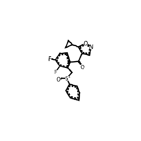 O=C(c1cnoc1C1CC1)c1ccc(F)c(F)c1C[S+]([O-])c1ccccc1